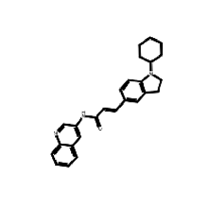 O=C(C=Cc1ccc2c(c1)CCN2C1CCCCC1)Nc1cnc2ccccc2c1